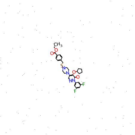 CCOC(=O)c1ccc(CSN2CCN(c3cnn(-c4cc(F)cc(F)c4)c(=O)c3OC3CCCC3)CC2)cc1